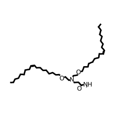 CCCCCCCC/C=C\CCCCCCCCOCCN(CCOCCCCCCCC/C=C\CCCCCCCC)CCC(=O)NC